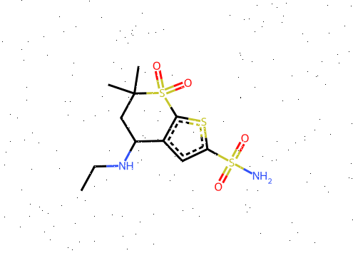 CCNC1CC(C)(C)S(=O)(=O)c2sc(S(N)(=O)=O)cc21